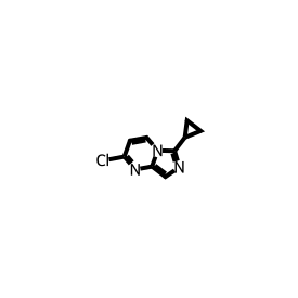 Clc1ccn2c(C3CC3)ncc2n1